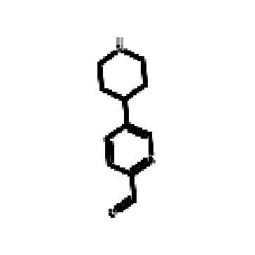 O=Cc1ccc(C2CCNCC2)cn1